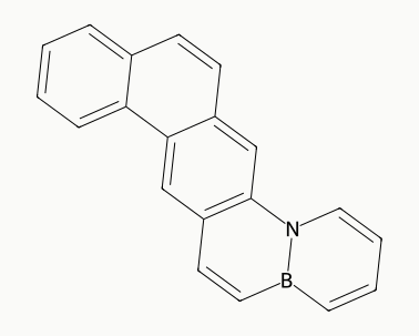 C1=CB2C=Cc3cc4c(ccc5ccccc54)cc3N2C=C1